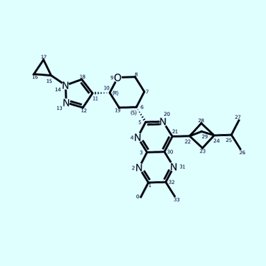 Cc1nc2nc([C@H]3CCO[C@@H](c4cnn(C5CC5)c4)C3)nc(C34CC(C(C)C)(C3)C4)c2nc1C